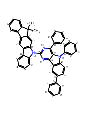 CC1(C)c2ccccc2-c2cc3c4ccccc4n(-c4nc(-c5ccccc5)c5c(n4)c4cc(-c6ccccc6)ccc4n5-c4ccccc4)c3cc21